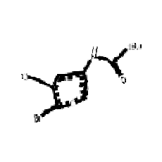 CC(C)(C)C(=O)Nc1ccc(Br)c(Cl)c1